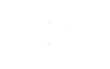 C=CC(=O)Nc1cccn1C